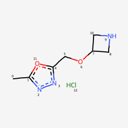 Cc1nnc(COC2CNC2)o1.Cl